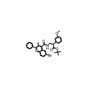 COc1cccc(C(CNC(=O)c2c(C)c(-c3ccccc3)nc3ccc(Br)cc23)C(=O)OC(C)(C)C)c1